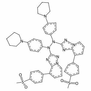 CS(=O)(=O)c1ccc(-c2cccn3nc(N(c4ccc(N5CCCCC5)cc4)N(c4ccc(N5CCCCC5)cc4)c4nc5c(-c6ccc(S(C)(=O)=O)cc6)cccn5n4)nc23)cc1